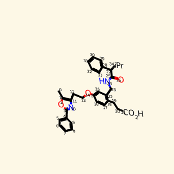 Cc1oc(-c2ccccc2)nc1CCOc1ccc(CCC(=O)O)c(CNC(=O)C(c2ccccc2)C(C)C)c1